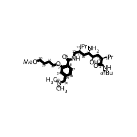 CCCCNC(=O)[C@@H](C[C@H](O)[C@@H](N)C[C@H](CNC(=O)c1ccc(CN(C)C)cc1OCCCCOC)C(C)C)C(C)C